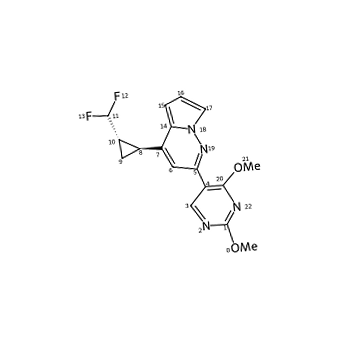 COc1ncc(-c2cc([C@H]3C[C@@H]3C(F)F)c3cccn3n2)c(OC)n1